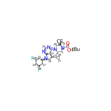 CC(C)(C)OC(=O)N1CCN(c2ncnc3c2c(C2CC2)cn3-c2cc(F)cc(F)c2)C[C@H]1C(F)(F)F